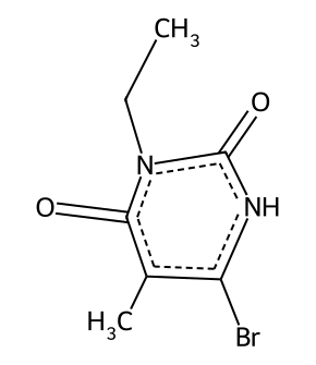 CCn1c(=O)[nH]c(Br)c(C)c1=O